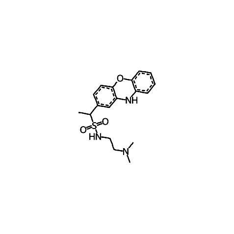 CC(c1ccc2c(c1)Nc1ccccc1O2)S(=O)(=O)NCCN(C)C